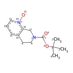 CC(C)(C)OC(=O)N1CCc2ccc[n+]([O-])c2C1